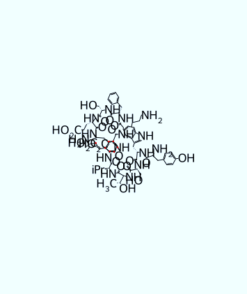 CC(C)[C@H](NC(=O)[C@@H](NC(=O)[C@H](CO)NC(=O)[C@H](Cc1c[nH]c2ccccc12)NC(=O)[C@@H](N)Cc1ccc(O)cc1)[C@@H](C)O)C(=O)N[C@@H](CCCCN)C(=O)N[C@@H](CC(=O)O)C(=O)N[C@@H](CCCCN)C(=O)N[C@@H](Cc1ccccc1)C(=O)N[C@@H](CO)C(=O)N[C@@H](CCC(=O)O)C(=O)N[C@@H](Cc1ccccc1)C(=O)O